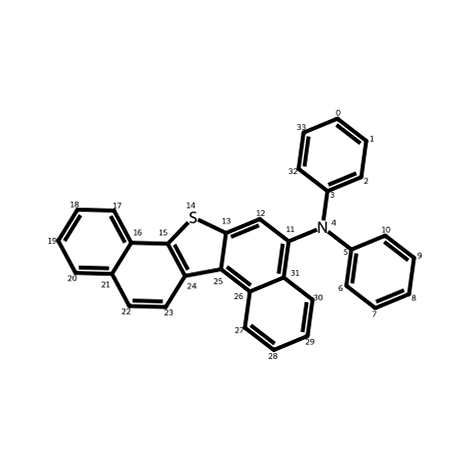 c1ccc(N(c2ccccc2)c2cc3sc4c5ccccc5ccc4c3c3ccccc23)cc1